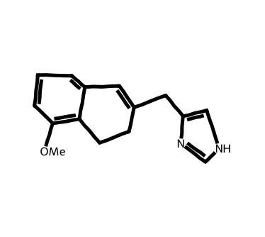 COc1cccc2c1CCC(Cc1c[nH]cn1)=C2